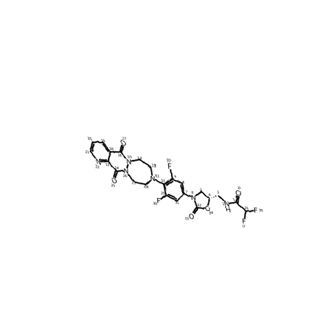 O=C(NC[C@H]1CN(c2cc(F)c(N3CCn4c(=O)c5cccnc5c(=O)n4CC3)c(F)c2)C(=O)O1)C(F)F